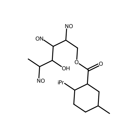 CC1CCC(C(C)C)C(C(=O)OCC(N=O)C(N=O)C(O)C(C)N=O)C1